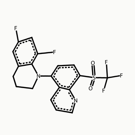 O=S(=O)(c1ccc(N2CCCc3cc(F)cc(F)c32)c2cccnc12)C(F)(F)F